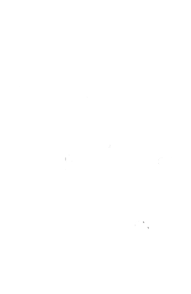 N#CC=C(Cl)c1cc2ccccc2o1